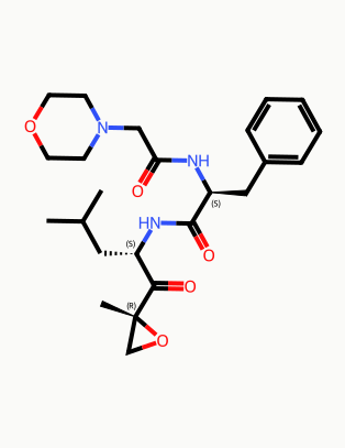 CC(C)C[C@H](NC(=O)[C@H](Cc1ccccc1)NC(=O)CN1CCOCC1)C(=O)[C@@]1(C)CO1